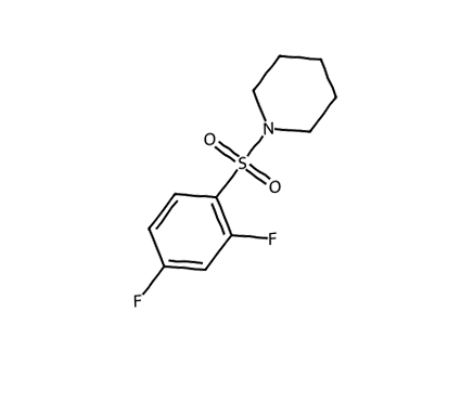 O=S(=O)(c1ccc(F)cc1F)N1CCCCC1